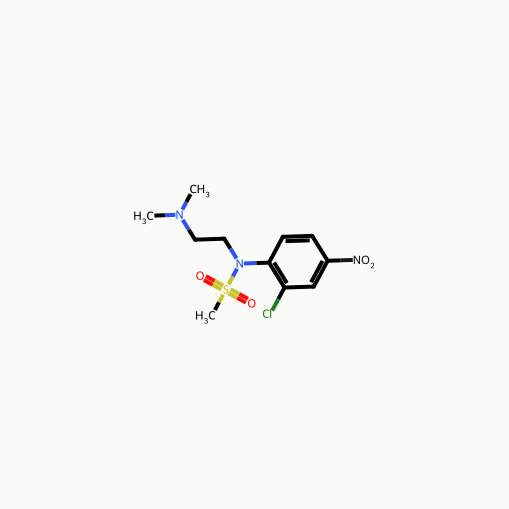 CN(C)CCN(c1ccc([N+](=O)[O-])cc1Cl)S(C)(=O)=O